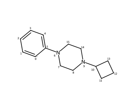 [c]1ccccc1N1CCN(C2CCC2)CC1